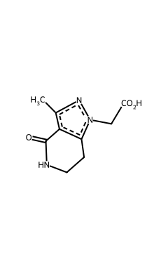 Cc1nn(CC(=O)O)c2c1C(=O)NCC2